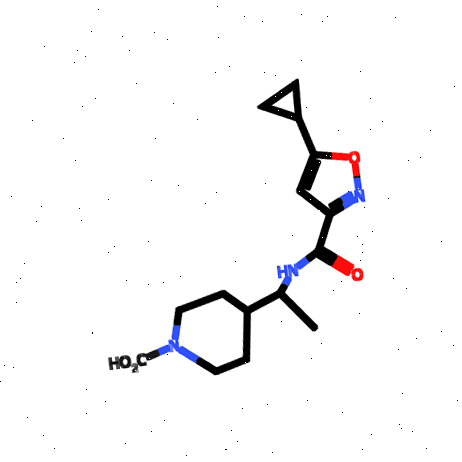 CC(NC(=O)c1cc(C2CC2)on1)C1CCN(C(=O)O)CC1